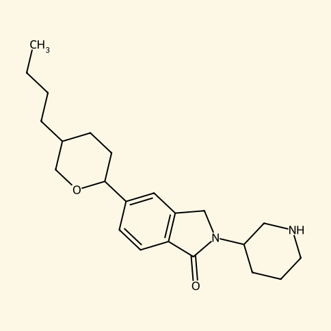 CCCCC1CCC(c2ccc3c(c2)CN(C2CCCNC2)C3=O)OC1